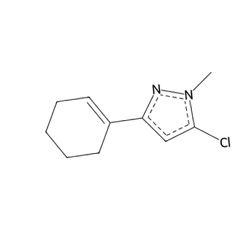 Cn1nc(C2=CCCCC2)cc1Cl